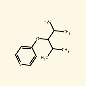 CC(C)C(Oc1ccncc1)C(C)C